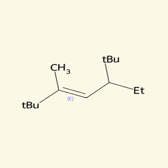 CCC(/C=C(\C)C(C)(C)C)C(C)(C)C